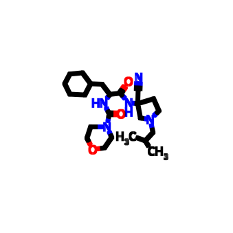 CC(C)CN1CCC(C#N)(NC(=O)C(CC2CCCCC2)NC(=O)N2CCOCC2)C1